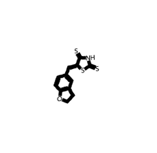 S=C1NC(=S)C(=Cc2ccc3c(c2)CCO3)S1